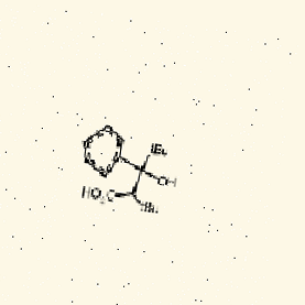 CC(C)(C)C(C(=O)O)C(O)(c1ccccc1)C(C)(C)C